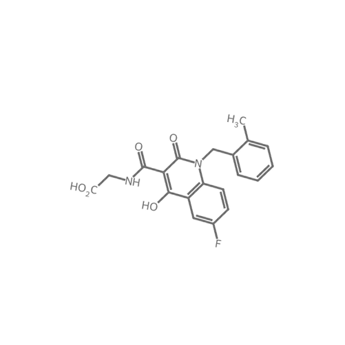 Cc1ccccc1Cn1c(=O)c(C(=O)NCC(=O)O)c(O)c2cc(F)ccc21